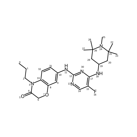 CCCN1C(=O)COc2cc(Nc3ncc(F)c(NC4CC(C)(C)N(C)C(C)(C)C4)n3)ccc21